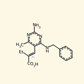 CC/C(=C\c1c(C)nc(N)nc1NCc1ccccc1)C(=O)O